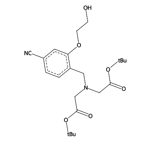 CC(C)(C)OC(=O)CN(CC(=O)OC(C)(C)C)Cc1ccc(C#N)cc1OCCO